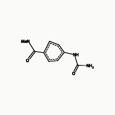 CNC(=O)c1ccc(NC(N)=O)cc1